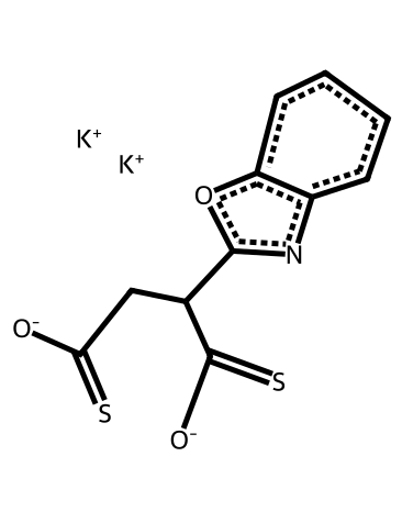 [K+].[K+].[O-]C(=S)CC(C([O-])=S)c1nc2ccccc2o1